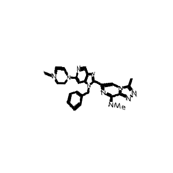 CNc1nc(-c2nc3cnc(N4CCN(C)CC4)cc3n2Cc2ccccc2)cn2c(C)nnc12